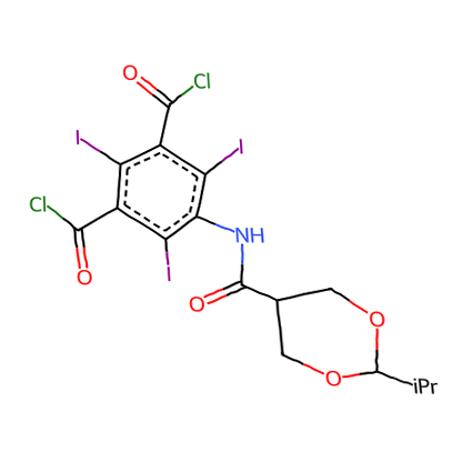 CC(C)C1OCC(C(=O)Nc2c(I)c(C(=O)Cl)c(I)c(C(=O)Cl)c2I)CO1